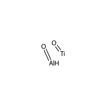 [O]=[AlH].[O]=[Ti]